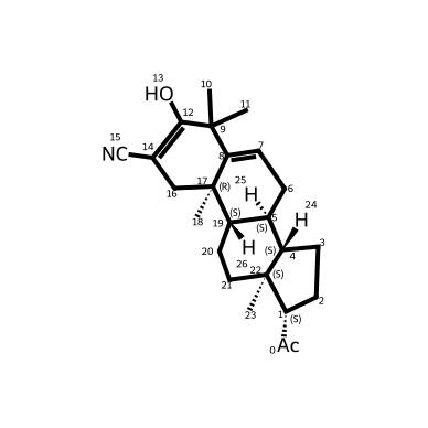 CC(=O)[C@H]1CC[C@H]2[C@@H]3CC=C4C(C)(C)C(O)=C(C#N)C[C@]4(C)[C@H]3CC[C@]12C